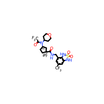 CC(C)[C@]1(C(=O)NCc2cc(C(F)(F)F)cc3c2NS(=O)(=O)N3)CC[C@@H](N(C(=O)C(F)(F)F)C2CCOCC2)C1